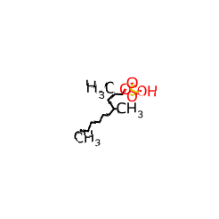 CCCCCCCC(C)CC(C)COS(=O)(=O)O